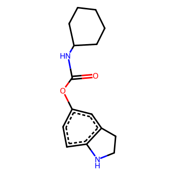 O=C(NC1CCCCC1)Oc1ccc2c(c1)CCN2